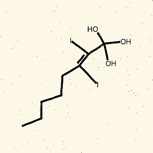 CCCCC/C(I)=C(\I)C(O)(O)O